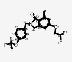 Cc1cc(OCC(F)F)cc2c1C(=O)N(Cc1ccc(OC(F)(F)F)cc1)C2